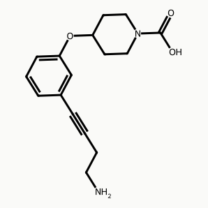 NCCC#Cc1cccc(OC2CCN(C(=O)O)CC2)c1